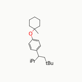 CC(C)C(CC(C)(C)C)c1ccc(OC2(C)CCCCC2)cc1